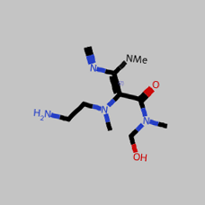 C=N/C(NC)=C(/C(=O)N(C)CO)N(C)CCN